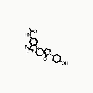 CC(=O)Nc1ccc(N2CCC[C@@]3(CCN([C@H]4CC[C@H](O)CC4)C3=O)C2)c(C(F)(F)F)c1